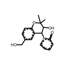 CC1(C)Oc2ccc(CO)cc2C(n2ccccc2=O)C1O